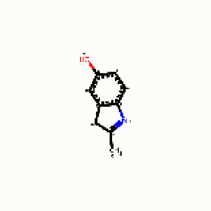 CC1=Nc2ccc(O)cc2C1